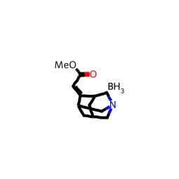 B.COC(=O)C=C1C2CC3CC1CN(C3)C2